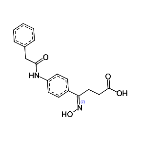 O=C(O)CC/C(=N/O)c1ccc(NC(=O)Cc2ccccc2)cc1